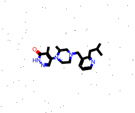 Cc1c(N2CCN(Cc3cccnc3CC(C)C)CC2C)cn[nH]c1=O